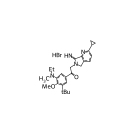 Br.CCN(C)c1cc(C(=O)CN2Cc3ccc(C4CC4)nc3C2=N)cc(C(C)(C)C)c1OC